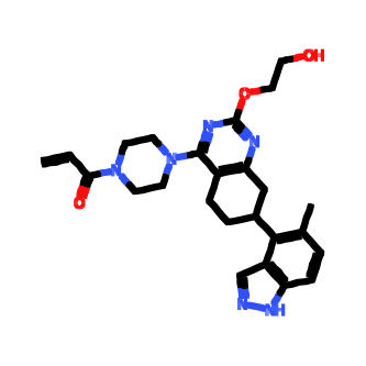 C=CC(=O)N1CCN(c2nc(OCCO)nc3c2CCC(c2c(C)ccc4[nH]ncc24)C3)CC1